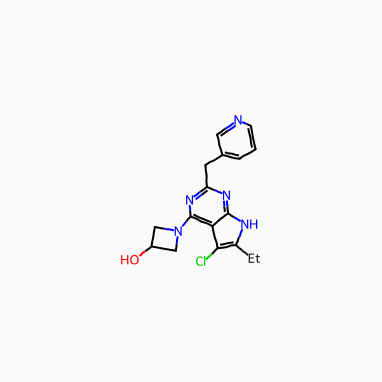 CCc1[nH]c2nc(Cc3cccnc3)nc(N3CC(O)C3)c2c1Cl